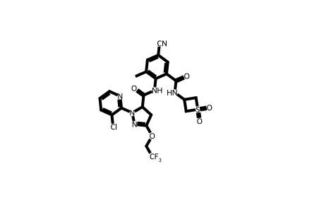 Cc1cc(C#N)cc(C(=O)NC2CS(=O)(=O)C2)c1NC(=O)C1CC(OCC(F)(F)F)=NN1c1ncccc1Cl